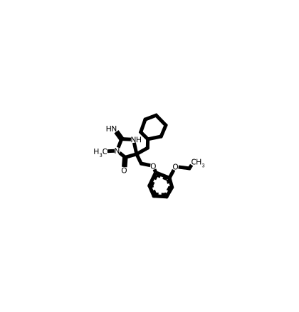 CCOc1ccccc1OCC1(CC2CCCCC2)NC(=N)N(C)C1=O